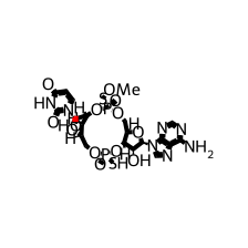 COSP1(=O)OC[C@H]2O[C@@H](n3cnc4c(N)ncnc43)[C@H](O)[C@@H]2OP(=O)(S)OC[C@H]2O[C@@H](n3ccc(=O)[nH]c3=O)[C@H](O1)[C@@H]2O